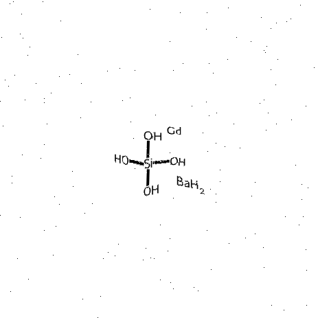 O[Si](O)(O)O.[BaH2].[Gd]